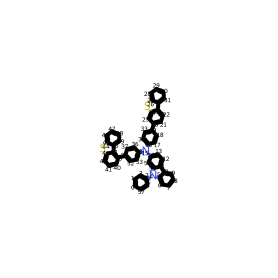 c1ccc(-n2c3ccccc3c3ccc(N(c4ccc(-c5ccc6c(c5)sc5ccccc56)cc4)c4ccc(-c5cccc6sc7ccccc7c56)cc4)cc32)cc1